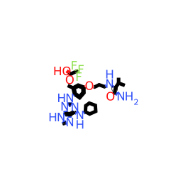 Cc1cc(OCCCN[C@H](C(N)=O)C(C)C)ccc1Nc1nc(NC2CCCCC2)c2nc[nH]c2n1.O=C(O)C(F)(F)F